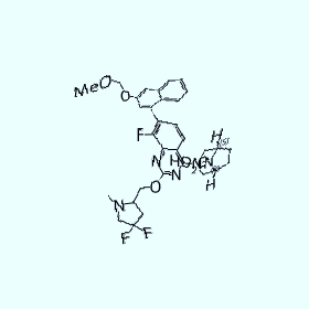 COCOc1cc(-c2ccc3c(N4C[C@H]5CC[C@@H](C4)N5C(=O)O)nc(OCC4CC(F)(F)CN4C)nc3c2F)c2ccccc2c1